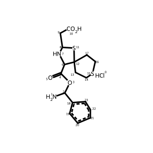 Cl.NC(OC(=O)C1NC(CC(=O)O)SC12CCSCC2)c1ccccc1